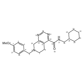 COc1ccc(CN2CCc3c(ncnc3C(=O)NCC3CCCCC3)C2)cc1